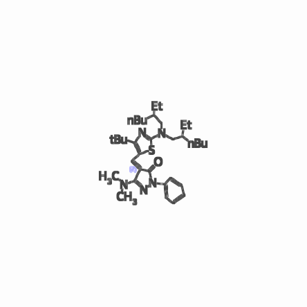 CCCCC(CC)CN(CC(CC)CCCC)c1nc(C(C)(C)C)c(/C=C2\C(=O)N(c3ccccc3)N=C2N(C)C)s1